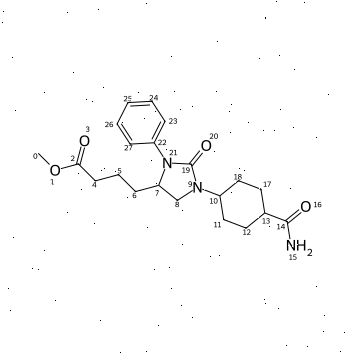 COC(=O)CCCC1CN(C2CCC(C(N)=O)CC2)C(=O)N1c1ccccc1